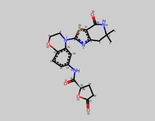 CC1(C)Cc2nc(N3CCOc4ccc(NC(=O)[C@H]5CCC(=O)O5)cc43)sc2C(=O)N1